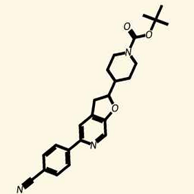 CC(C)(C)OC(=O)N1CCC(C2Cc3cc(-c4ccc(C#N)cc4)ncc3O2)CC1